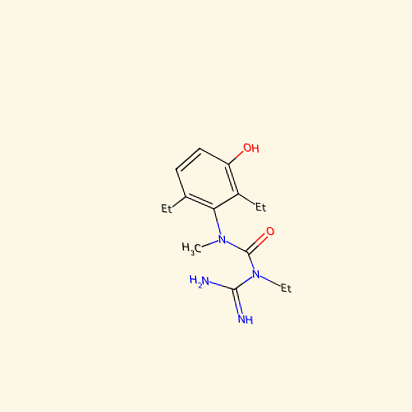 CCc1ccc(O)c(CC)c1N(C)C(=O)N(CC)C(=N)N